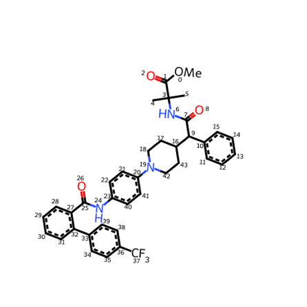 COC(=O)C(C)(C)NC(=O)C(c1ccccc1)C1CCN(c2ccc(NC(=O)c3ccccc3-c3ccc(C(F)(F)F)cc3)cc2)CC1